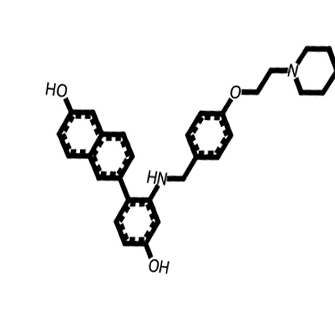 Oc1ccc(-c2ccc3cc(O)ccc3c2)c(NCc2ccc(OCCN3CCCCC3)cc2)c1